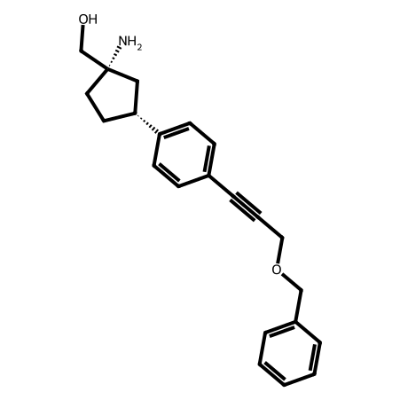 N[C@@]1(CO)CC[C@@H](c2ccc(C#CCOCc3ccccc3)cc2)C1